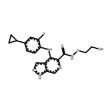 O=C(NOCCO)c1ncc2[nH]ncc2c1Nc1ccc(C2CC2)cc1F